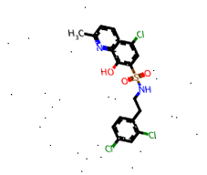 Cc1ccc2c(Cl)cc(S(=O)(=O)NCCc3ccc(Cl)cc3Cl)c(O)c2n1